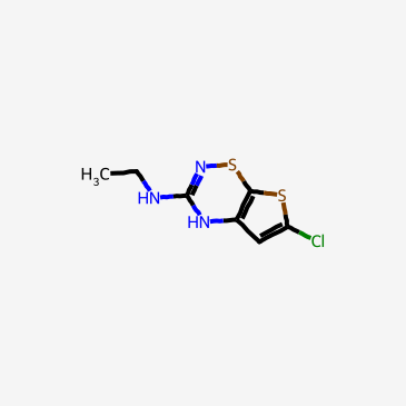 CCNC1=NSc2sc(Cl)cc2N1